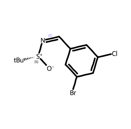 CC(C)(C)[S@@+]([O-])/N=C\c1cc(Cl)cc(Br)c1